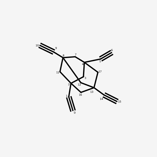 C#CC12CC3(C#C)CC(C#C)(C1)CC(C#C)(C2)C3